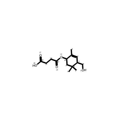 CC1=CC(CO)C(C)(C)CC1OC(=O)CCC(=O)O